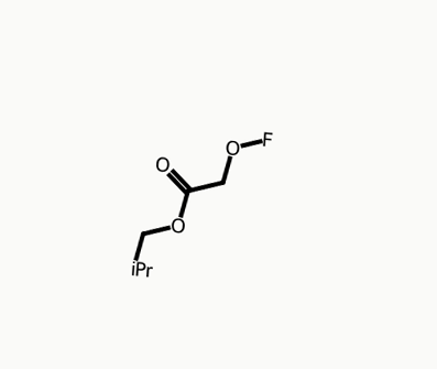 CC(C)COC(=O)COF